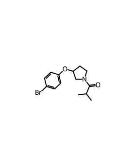 CC(C)C(=O)N1CCC(Oc2ccc(Br)cc2)C1